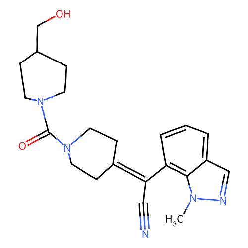 Cn1ncc2cccc(C(C#N)=C3CCN(C(=O)N4CCC(CO)CC4)CC3)c21